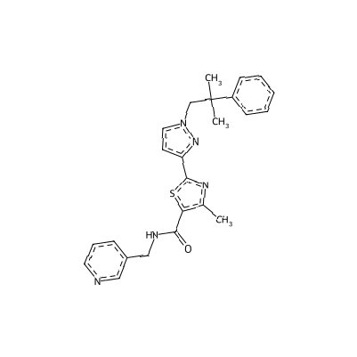 Cc1nc(-c2ccn(CC(C)(C)c3ccccc3)n2)sc1C(=O)NCc1cccnc1